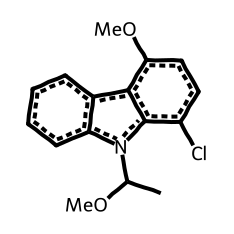 COc1ccc(Cl)c2c1c1ccccc1n2C(C)OC